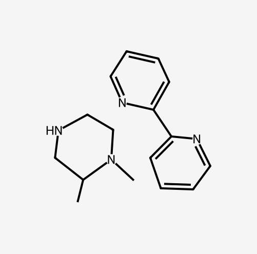 CC1CNCCN1C.c1ccc(-c2ccccn2)nc1